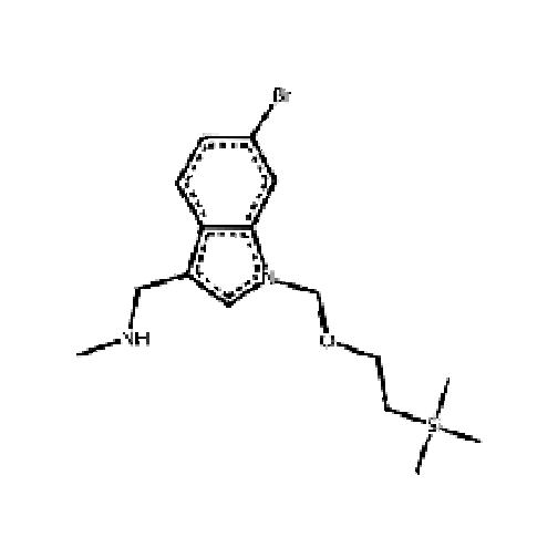 CNCc1cn(COCC[Si](C)(C)C)c2cc(Br)ccc12